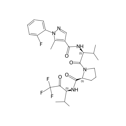 Cc1c(C(=O)N[C@H](C(=O)N2CCC[C@H]2C(=O)N[C@H](C(=O)C(F)(F)F)C(C)C)C(C)C)cnn1-c1ccccc1F